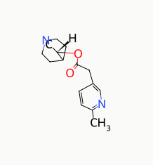 Cc1ccc(CC(=O)O[C@H]2CN3CCC2CC3)cn1